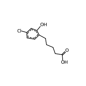 O=C(O)CCCCc1ccc(Cl)cc1O